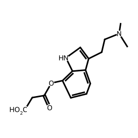 CN(C)CCc1c[nH]c2c(OC(=O)CC(=O)O)cccc12